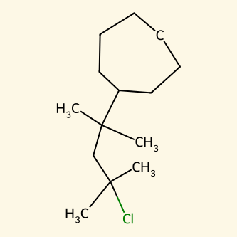 CC(C)(Cl)CC(C)(C)C1CCCCCC1